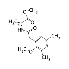 COC(=O)[C@H](C)NC(=O)Cc1cc(C)cc(C)c1OC